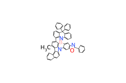 Cc1cc2c3c4c1c1c5ccccc5ccc1n4-c1cc4oc(-c5ccccc5)nc4cc1B3N1c3ccccc3C(c3ccccc3)(c3ccccc3)c3cccc-2c31